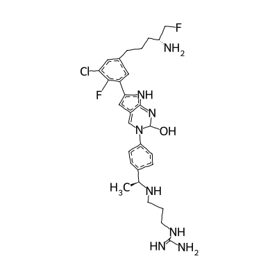 C[C@H](NCCCNC(=N)N)c1ccc(N2C=c3cc(-c4cc(CCC[C@@H](N)CF)cc(Cl)c4F)[nH]c3=NC2O)cc1